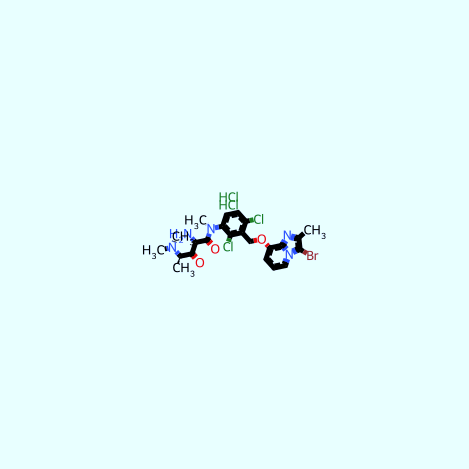 Cc1nc2c(OCc3c(Cl)ccc(N(C)C(=O)C(N)C(=O)[C@H](C)N(C)C)c3Cl)cccn2c1Br.Cl.Cl